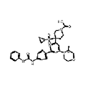 C[C@H]1COCCN1c1cc(C2(S(=O)(=O)C3CC3)CCN(C(=O)O)CC2)nc(-c2ccc(NC(=O)Oc3ccccc3)cc2)n1